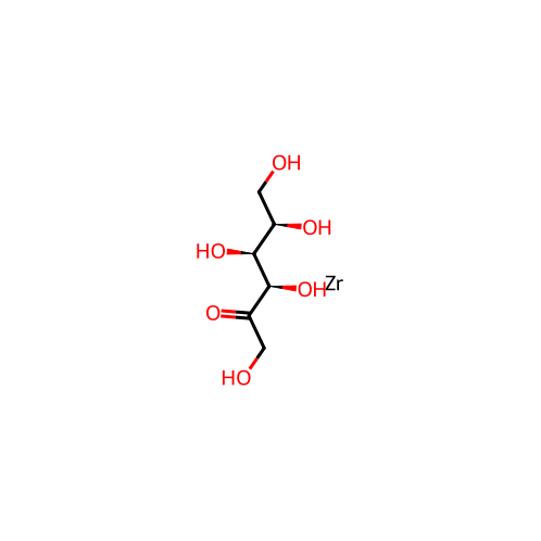 O=C(CO)[C@H](O)[C@@H](O)[C@H](O)CO.[Zr]